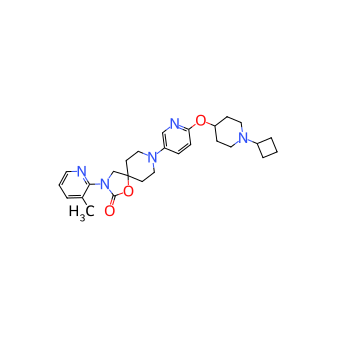 Cc1cccnc1N1CC2(CCN(c3ccc(OC4CCN(C5CCC5)CC4)nc3)CC2)OC1=O